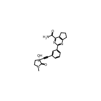 CN1CC[C@@](O)(C#Cc2cccc(-c3nc4c(c(C(N)=O)n3)CCC4)c2)C1=O